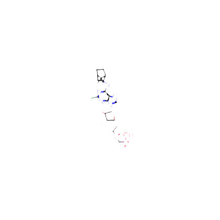 CC1(C)[C@@H]2CC[C@@]1(C)C(Nc1nc(Cl)nc3c1ncn3[C@@H]1O[C@H](CCP(=O)(O)CP(=O)(O)O)[C@H](O)C1O)C2